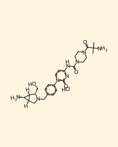 CC(C)(N)C(=O)N1CCN(C(=O)Nc2ccn(-c3ccc(CN4C[C@@H]5[C@@H](N)[C@@H]5[C@H]4CO)cc3)c(=O)n2)CC1.Cl